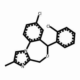 Cc1cn2c(n1)COC(c1ccccc1Cl)c1cc(Cl)ccc1-2